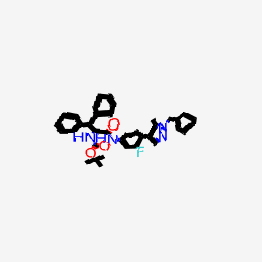 Cc1c(-c2ccc(NC(=O)[C@@H](NC(=O)OC(C)(C)C)C(c3ccccc3)c3ccccc3)cc2F)cnn1Cc1ccccc1